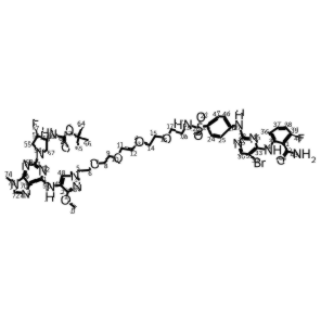 COc1nn(CCOCCOCCOCCOCCNS(=O)(=O)c2ccc(Nc3ncc(Br)c(Nc4cccc(F)c4C(N)=O)n3)cc2)cc1Nc1nc(N2C[C@@H](F)[C@H](NC(=O)OC(C)(C)C)C2)nc2c1ncn2C